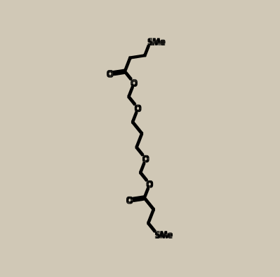 CSCCC(=O)OCOCCCOCOC(=O)CCSC